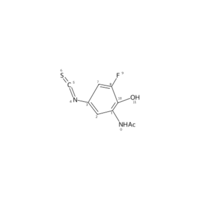 CC(=O)Nc1cc(N=C=S)cc(F)c1O